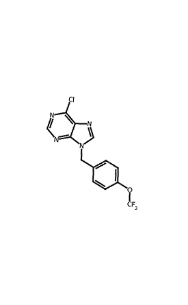 FC(F)(F)Oc1ccc(Cn2cnc3c(Cl)ncnc32)cc1